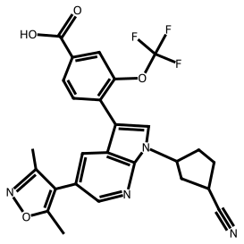 Cc1noc(C)c1-c1cnc2c(c1)c(-c1ccc(C(=O)O)cc1OC(F)(F)F)cn2C1CCC(C#N)C1